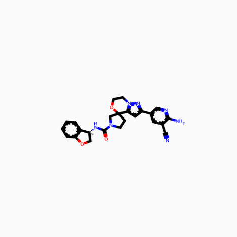 N#Cc1cc(-c2cc3n(n2)CCOC32CCN(C(=O)N[C@@H]3COc4ccccc43)C2)cnc1N